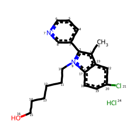 Cc1c(-c2cccnc2)n(CCCCCCO)c2ccc(Cl)cc12.Cl